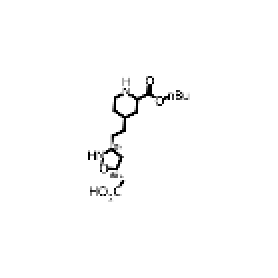 CCCCOC(=O)C1CC(CC[C@H]2C[C@H](CC(=O)O)ON2)CCN1